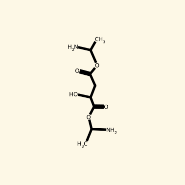 CC(N)OC(=O)CC(O)C(=O)OC(C)N